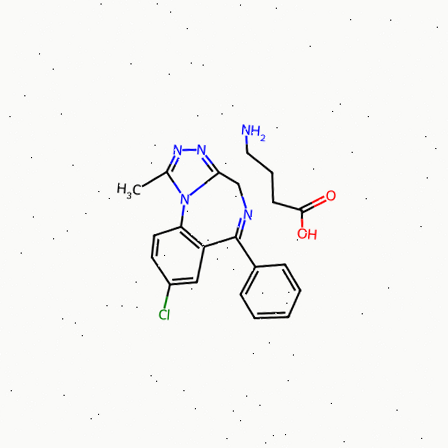 Cc1nnc2n1-c1ccc(Cl)cc1C(c1ccccc1)=NC2.NCCCC(=O)O